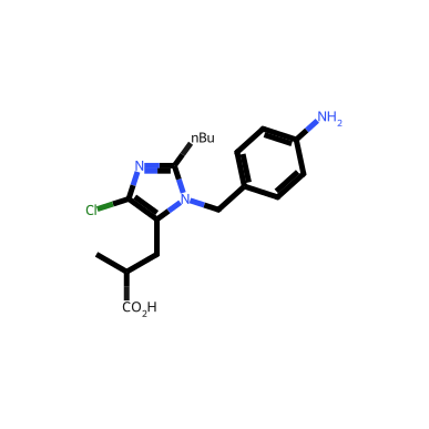 CCCCc1nc(Cl)c(CC(C)C(=O)O)n1Cc1ccc(N)cc1